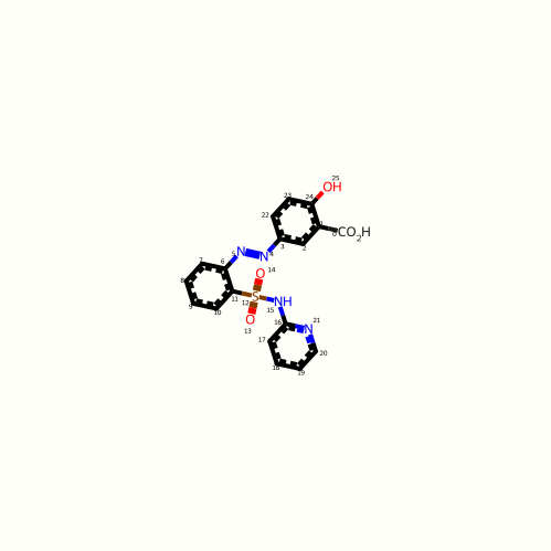 O=C(O)c1cc(N=Nc2ccccc2S(=O)(=O)Nc2ccccn2)ccc1O